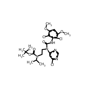 COc1cc(OC)c(Cl)c(NC(=O)N(CCN(C(=O)OC(C)(C)C)C(C)C)c2cc(Cl)ncn2)c1Cl